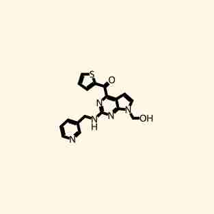 O=C(c1cccs1)c1nc(NCc2cccnc2)nc2c1ccn2CO